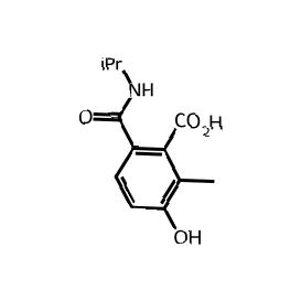 Cc1c(O)ccc(C(=O)NC(C)C)c1C(=O)O